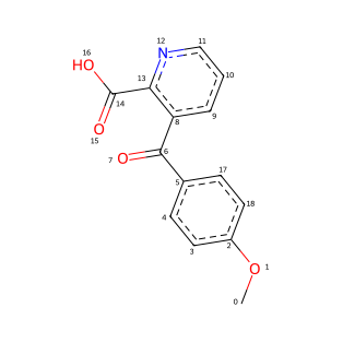 COc1ccc(C(=O)c2cccnc2C(=O)O)cc1